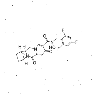 O=C(c1cn2c(cc1=O)C(=O)N1[C@H]3CC[C@H](C3)[C@H]1C2)N(O)Cc1c(F)cc(F)cc1F